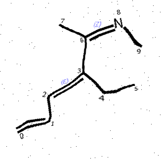 C=C/C=C(CC)/C(C)=N\C